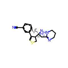 C[C@](N)(CC1=NCCCN1)C1CSC=C1c1cccc(C#N)c1